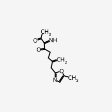 C=C(CCC(=O)C(=N)C(C)=O)Cc1ncc(C)o1